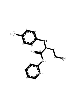 Cc1ccc(N[C@@H](CCS)C(=O)Oc2ccccn2)cc1